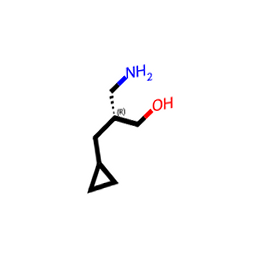 NC[C@H](CO)CC1CC1